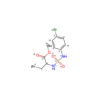 CC(C)CC(NS(=O)(=O)Nc1ccc(Br)cc1)C(=O)OC(C)(C)C